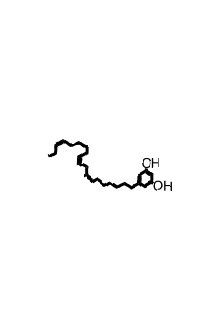 CC/C=C\C/C=C\C/C=C\C/C=C\CCCCCCc1cc(O)cc(O)c1